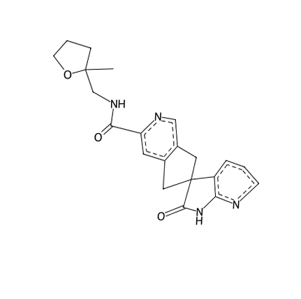 CC1(CNC(=O)c2cc3c(cn2)CC2(C3)C(=O)Nc3ncccc32)CCCO1